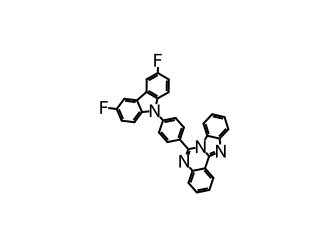 Fc1ccc2c(c1)c1cc(F)ccc1n2-c1ccc(-c2nc3ccccc3c3nc4ccccc4n23)cc1